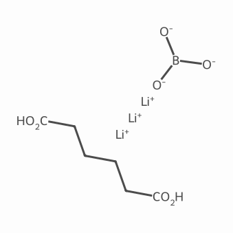 O=C(O)CCCCC(=O)O.[Li+].[Li+].[Li+].[O-]B([O-])[O-]